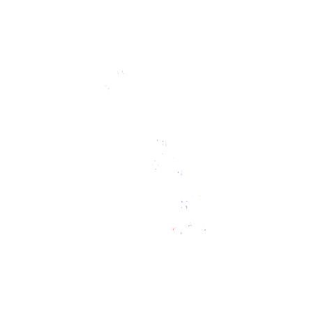 O=C(O)NCCCCCCNC(=O)c1cccc(-c2nc(=O)c3ccccc3s2)n1